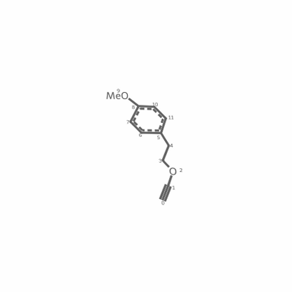 C#COCCc1ccc(OC)cc1